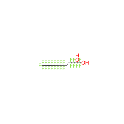 OC(F)(F)C(O)(F)C(F)(F)C(F)(F)CCC(F)(F)C(F)(F)C(F)(F)C(F)(F)C(F)(F)C(F)(F)C(F)(F)C(F)(F)F